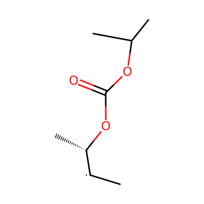 C[CH][C@H](C)OC(=O)OC(C)C